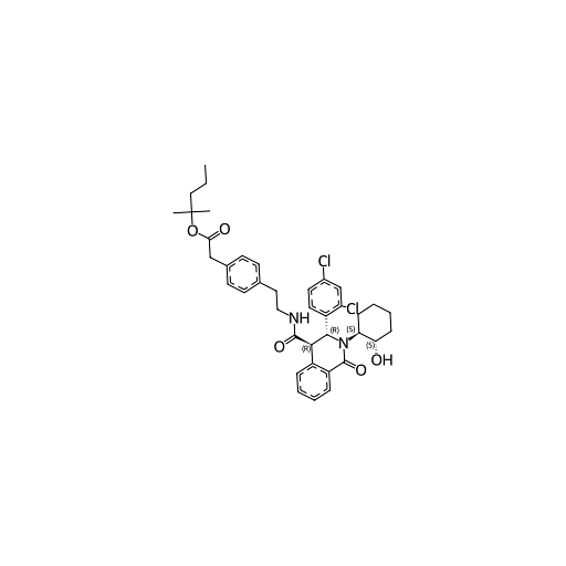 CCCC(C)(C)OC(=O)Cc1ccc(CCNC(=O)[C@@H]2c3ccccc3C(=O)N([C@H]3CCCC[C@@H]3O)[C@H]2c2ccc(Cl)cc2Cl)cc1